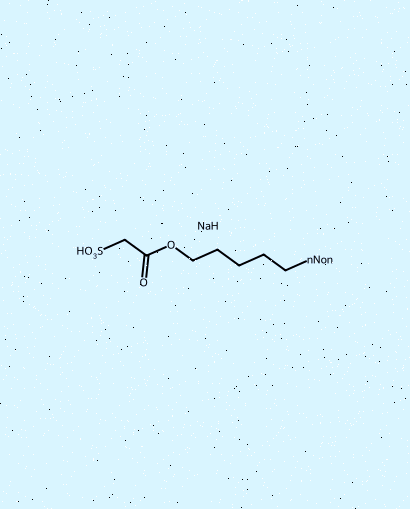 CCCCCCCCCCCCCCOC(=O)CS(=O)(=O)O.[NaH]